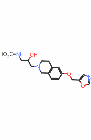 O=C(O)NCC(O)CN1CCc2cc(OCc3cnco3)ccc2C1